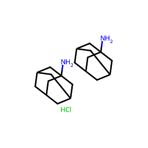 Cl.NC12CC3CC(CC(C3)C1)C2.NC12CC3CC(CC(C3)C1)C2